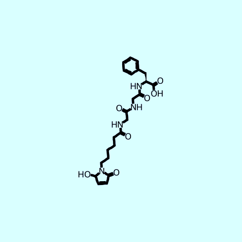 O=C(CCCCCN1C(=O)C=CC1O)NCC(=O)NCC(=O)N[C@@H](Cc1ccccc1)C(=O)O